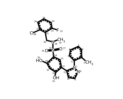 Cc1ccccc1-n1nccc1-c1cc(S(=O)(=O)N(C)Cc2c(F)cccc2Cl)c(O)cc1O